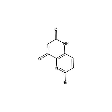 O=C1CC(=O)c2nc(Br)ccc2N1